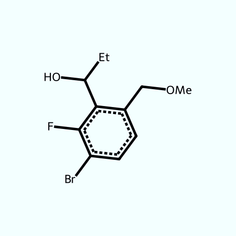 CCC(O)c1c(COC)ccc(Br)c1F